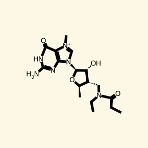 CCC(=O)N(CC)C[C@H]1[C@@H](O)[C@H](n2c[n+](C)c3c(=O)[nH]c(N)nc32)O[C@@H]1C